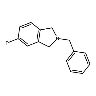 Fc1ccc2c(c1)CN(Cc1ccccc1)C2